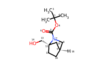 CC(C)(C)OC(=O)N1C[C@H]2CC[C@]1(CO)C2